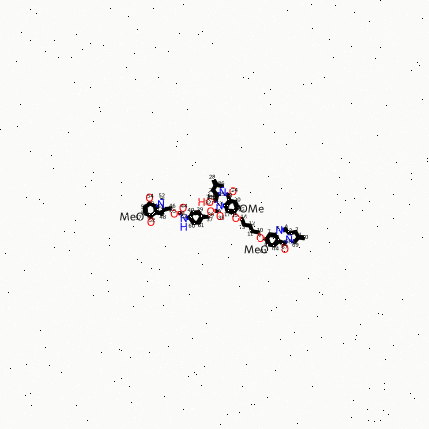 C=C1CC2C=Nc3cc(OCCCCCOc4cc5c(cc4OC)C(=O)N4CC(=C)C[C@H]4C(O)N5C(=O)OCc4ccc(NC(=O)OCc5cc6c(n5C)C(=O)C=C(OC)C6=O)cc4)c(OC)cc3C(=O)N2C1